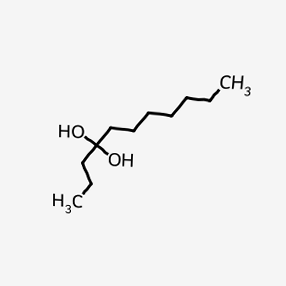 CCCCCCCC(O)(O)CCC